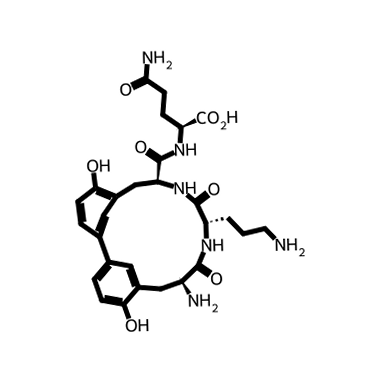 NCCC[C@@H]1NC(=O)[C@@H](N)Cc2cc(ccc2O)-c2ccc(O)c(c2)C[C@@H](C(=O)N[C@@H](CCC(N)=O)C(=O)O)NC1=O